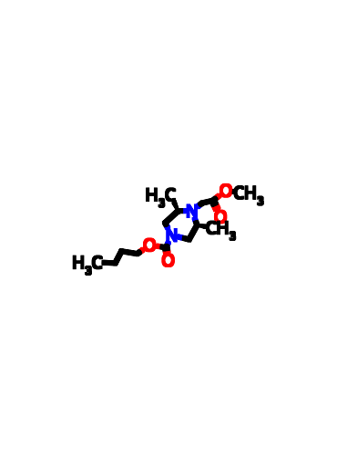 CCCCOC(=O)N1C[C@@H](C)N(CC(=O)OC)[C@@H](C)C1